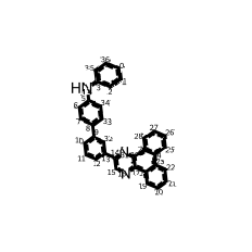 c1ccc(Nc2ccc(-c3cccc(-c4cnc5c6ccccc6c6ccccc6c5n4)c3)cc2)cc1